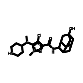 CN(c1c(Cl)c(C(=O)NC2C3CC4CC2CC(O)(C4)C3)nn1C)C1CCNCC1